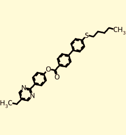 CCCCCSc1ccc(-c2ccc(C(=O)Oc3ccc(-c4ncc(CC)cn4)cc3)cc2)cc1